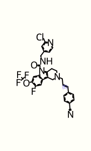 N#Cc1ccc(/C=C/CN2CCc3c(c4cc(F)c(OC(F)(F)F)cc4n3C(=O)NCc3ccnc(Cl)c3)C2)cc1